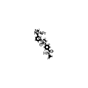 CC(C)n1cnnc1-c1cccc(N2CCN(c3ccc(C(=O)NC4CC4)cc3)C2=O)n1